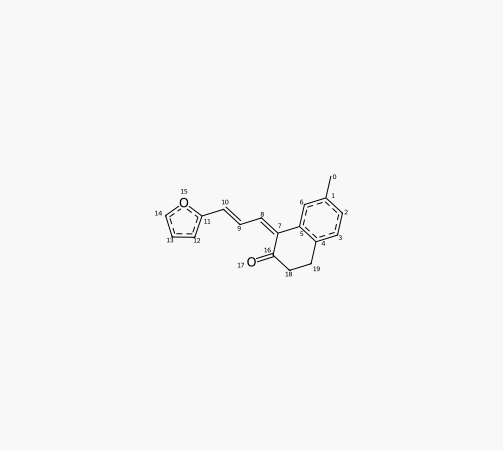 Cc1ccc2c(c1)C(=C/C=C/c1ccco1)C(=O)CC2